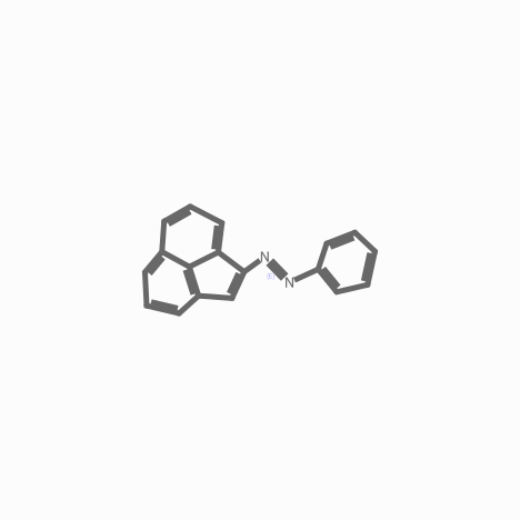 C1=C(/N=N/c2ccccc2)c2cccc3cccc1c23